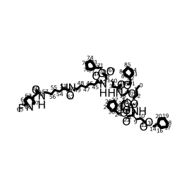 CCCCOP(=O)(N[C@@H](CCC(=O)OCc1ccccc1)C(=O)OCc1ccccc1)OCCC[C@H](NC(=O)CC[C@H](NC(=O)CCCCCNC(=O)CCCCCNC(=O)c1ccc(F)nc1)C(=O)OCc1ccccc1)C(=O)OCc1ccccc1